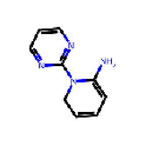 NC1=CC=CCN1c1ncccn1